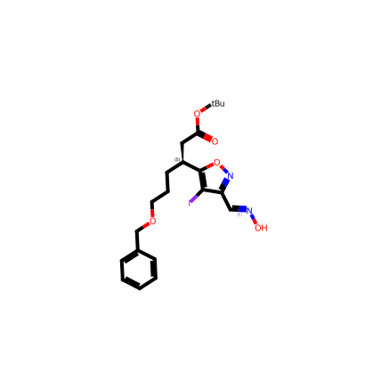 CC(C)(C)OC(=O)C[C@H](CCCOCc1ccccc1)c1onc(/C=N/O)c1I